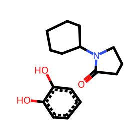 O=C1CCCN1C1CCCCC1.Oc1ccccc1O